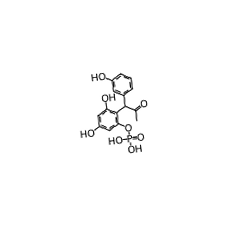 CC(=O)C(c1cccc(O)c1)c1c(O)cc(O)cc1OP(=O)(O)O